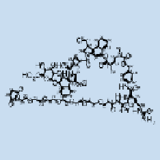 CC(C)C(NC(=O)CCOCCOCCOCCOCCOCCOCCN1C(=O)C=CC1=O)C(=O)NC(CCCNC(N)=O)C(=O)Nc1ccc(COC(=O)N(C)CCN(C)C(=O)Oc2cc3c(c4ccccc24)C(CCl)CN3C(=O)c2ccc(C(=O)N3CC(CCl)c4c3cc(OC3OC(C(=O)O)C(O)C(O)C3O)c3ccccc43)s2)cc1